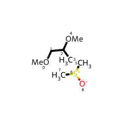 COCC(C)OC.C[S+](C)[O-]